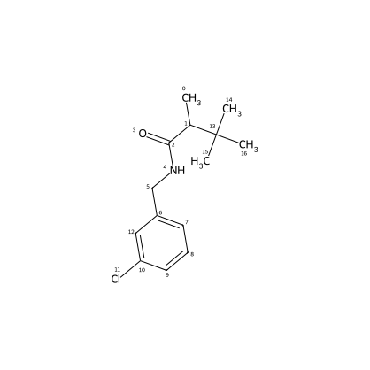 CC(C(=O)NCc1cccc(Cl)c1)C(C)(C)C